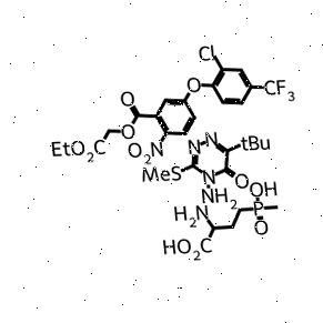 CCOC(=O)COC(=O)c1cc(Oc2ccc(C(F)(F)F)cc2Cl)ccc1[N+](=O)[O-].CP(=O)(O)CCC(N)C(=O)O.CSc1nnc(C(C)(C)C)c(=O)n1N